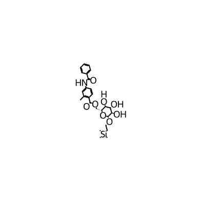 Cc1cc(NC(=O)c2ccccc2)ccc1C(=O)OC[C@H]1O[C@@H](OCC[Si](C)(C)C)[C@H](O)[C@@H](O)[C@@H]1O